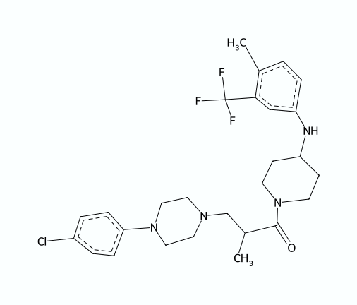 Cc1ccc(NC2CCN(C(=O)C(C)CN3CCN(c4ccc(Cl)cc4)CC3)CC2)cc1C(F)(F)F